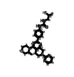 CC1COCCN1c1nc(-c2ccc(NC(=O)NCC(F)F)cc2)nc2c1CCN(c1ncccn1)C2